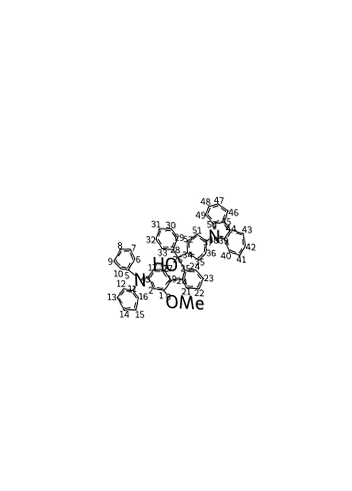 COc1cc(N(c2ccccc2)c2ccccc2)ccc1-c1ccccc1C(O)(c1ccccc1)c1ccc(-n2c3ccccc3c3ccccc32)cc1